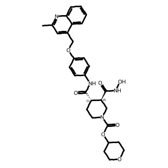 Cc1cc(COc2ccc(NC(=O)[C@H]3CCN(C(=O)OC4CCOCC4)C[C@@H]3C(=O)NO)cc2)c2ccccc2n1